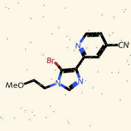 COCCn1cnc(-c2cc(C#N)ccn2)c1Br